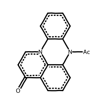 CC(=O)N1c2ccccc2-n2ccc(=O)c3cccc1c32